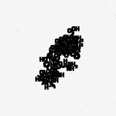 CC[C@H](C)[C@H](NC(=O)[C@@H](NC(=O)[C@H](Cc1ccc(O)cc1)NC(=O)[C@H](CCCNC(=N)N)NC(=O)[C@H](CCCNC(=N)N)NC(=O)[C@@H]1CCCN1C(=O)CNC(=O)[C@H](CO)NC(=O)[C@H](CC(=O)O)NC(=O)[C@H](CC(N)=O)NC(=O)[C@H](C)NC(=O)[C@@H](NC(=O)[C@H](Cc1ccccc1)NC(=O)[C@@H](NC(=O)[C@@H](NC(=O)[C@@H](N)CCC(=O)O)C(C)C)C(C)C)[C@@H](C)O)[C@@H](C)O)C(=O)N[C@@H](C)C(=O)N[C@@H](C)C(=O)O